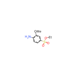 CCOS(=O)(=O)c1ccc(N)c(OC)c1